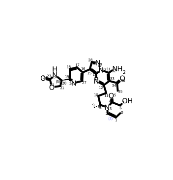 C/C=C\N(C(=O)CO)[C@H](C)CCc1nc2c(-c3ccc([C@H]4COC(=O)N4)nc3)cnn2c(N)c1C(C)=O